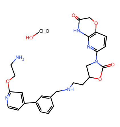 NCCOc1cc(-c2cccc(CNCCC3CN(c4ccc5c(n4)NC(=O)CO5)C(=O)O3)c2)ccn1.O=CO